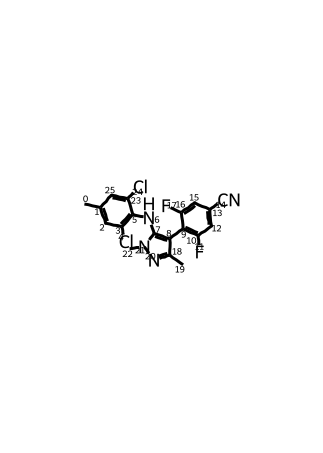 Cc1cc(Cl)c(Nc2c(-c3c(F)cc(C#N)cc3F)c(C)nn2C)c(Cl)c1